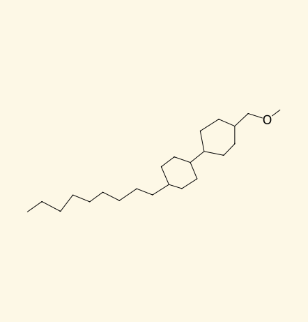 CCCCCCCCCC1CCC(C2CCC(COC)CC2)CC1